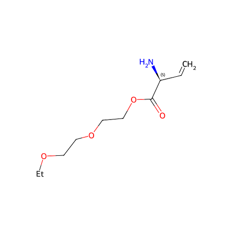 C=C[C@H](N)C(=O)OCCOCCOCC